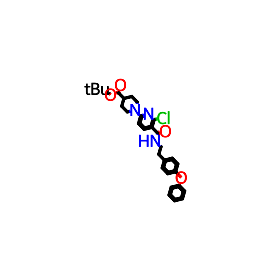 CC(C)(C)OC(=O)C1CCN(c2ccc(C(=O)NCCc3ccc(Oc4ccccc4)cc3)c(Cl)n2)CC1